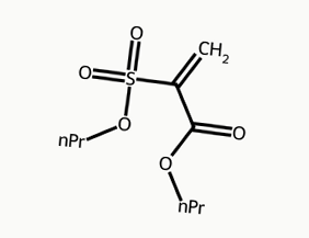 C=C(C(=O)OCCC)S(=O)(=O)OCCC